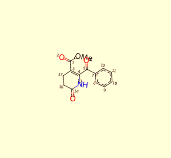 COC(=O)C1=C(C(=O)c2ccccc2)NC(=O)CC1